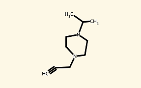 C#CCN1CCN(C(C)C)CC1